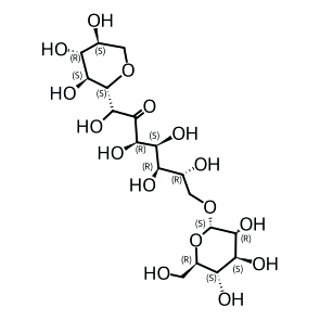 O=C(C(O)[C@H]1OC[C@H](O)[C@@H](O)[C@@H]1O)[C@H](O)[C@@H](O)[C@H](O)[C@H](O)CO[C@H]1O[C@H](CO)[C@@H](O)[C@H](O)[C@H]1O